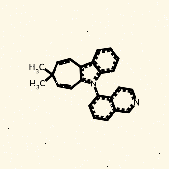 CC1(C)C=Cc2c(n(-c3cccc4cnccc34)c3ccccc23)C=C1